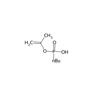 C=C(C)OP(=O)(O)CCCC